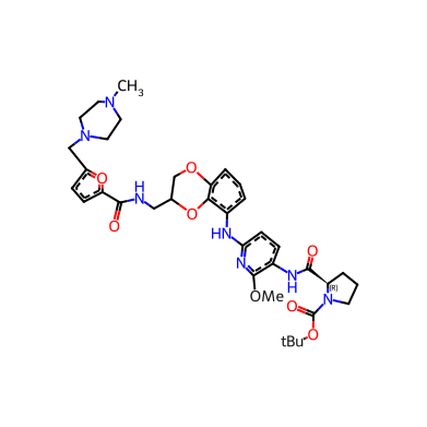 COc1nc(Nc2cccc3c2OC(CNC(=O)c2ccc(CN4CCN(C)CC4)o2)CO3)ccc1NC(=O)[C@H]1CCCN1C(=O)OC(C)(C)C